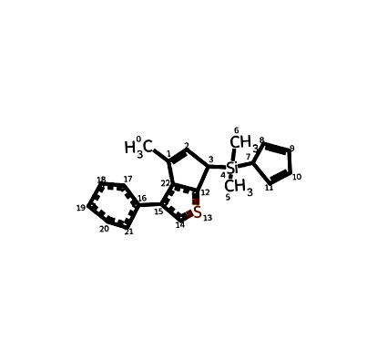 CC1=CC([Si](C)(C)C2C=CC=C2)c2scc(-c3ccccc3)c21